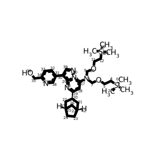 C[Si](C)(C)CCOCN(COCC[Si](C)(C)C)c1cc([C@H]2C[C@@H]3CC[C@@H](C3)C2)nc2c(-c3ccc(CO)nc3)cnn12